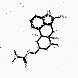 CSc1[nH]c2cccc3c2c1C[C@H]1[C@H]3CC(COC(=O)N(C)C)CN1C